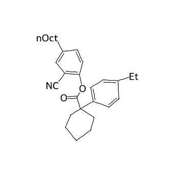 CCCCCCCCc1ccc(OC(=O)C2(c3ccc(CC)cc3)CCCCC2)c(C#N)c1